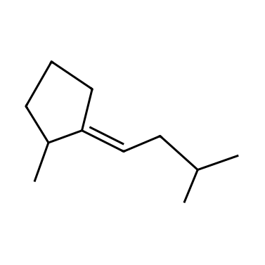 CC(C)CC=C1CCCC1C